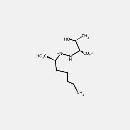 C[C@@H](O)[C@H](NN[C@@H](CCCCN)C(=O)O)C(=O)O